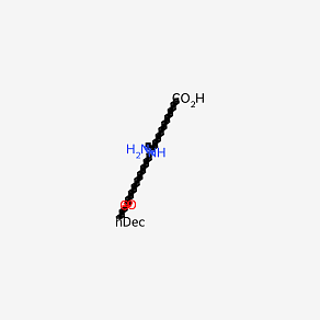 CCCCCCCCCCCCCCOC(=O)CCCCCCCCCCCCCCCNC(CCCCCCCCCCCCCCCC(=O)O)C(C)N